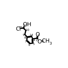 COC(=O)c1cccc(CCC(O)Cl)c1